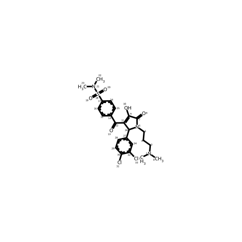 CN(C)CCCN1C(=O)C(O)=C(C(=O)c2ccc(S(=O)(=O)N(C)C)cc2)C1c1ccc(Cl)c(Cl)c1